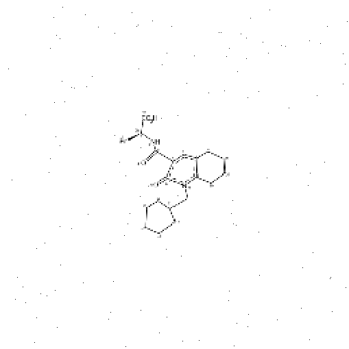 CC(C)[C@H](NC(=O)c1cc2c(n(CC3CCCCC3)c1=O)CCCC2)C(=O)O